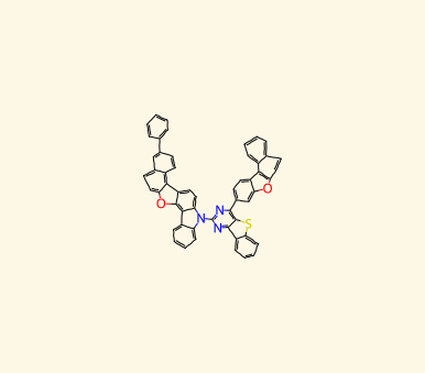 c1ccc(-c2ccc3c(ccc4oc5c(ccc6c5c5ccccc5n6-c5nc(-c6ccc7c(c6)oc6ccc8ccccc8c67)c6sc7ccccc7c6n5)c43)c2)cc1